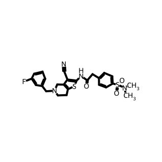 CN(C)S(=O)(=O)c1ccc(CC(=O)Nc2sc3c(c2C#N)CN(Cc2cccc(F)c2)CC3)cc1